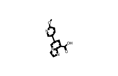 COc1ccc(-c2cc(C(=O)O)c3nccn3c2)cn1